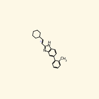 Cc1ccccc1-c1ccc2[nH]c(/C=C/C3CCCCC3)nc2c1